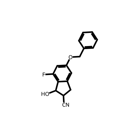 N#CC1Cc2cc(OCc3ccccc3)cc(F)c2C1O